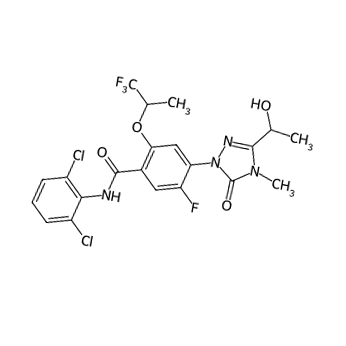 CC(O)c1nn(-c2cc(OC(C)C(F)(F)F)c(C(=O)Nc3c(Cl)cccc3Cl)cc2F)c(=O)n1C